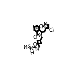 Cn1ncc(Cl)c1CC1c2ccccc2C(=O)N1CC1CC2(CN=C(NC#N)O2)C1